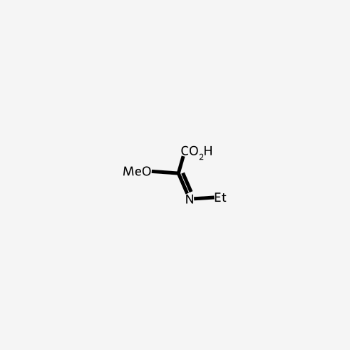 CCN=C(OC)C(=O)O